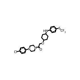 O=C(COC1CCC(Nc2ccc(SC(F)(F)F)cc2)CC1)N1CCN(c2ccc(Cl)cc2)CC1